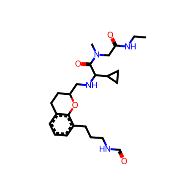 CCNC(=O)CN(C)C(=O)C(NCC1CCc2cccc(CCCNC=O)c2O1)C1CC1